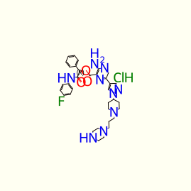 Cl.Nc1ncc(-c2cnn(C3CCN(CCCN4CCNCC4)CC3)c2)nc1C(=O)O[C@@H](C(=O)Nc1ccc(F)cc1)c1ccccc1